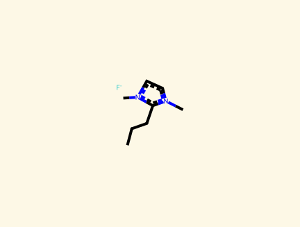 CCCc1n(C)cc[n+]1C.[F-]